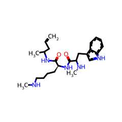 C=CCC(C)NC(=O)[C@H](CCCCNC)NC(=O)C(Cc1c[nH]c2ccccc12)NC